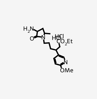 CCOC(=O)CC(CCCN1C(=O)C(N)CC1C)c1ccc(OC)nc1.Cl.Cl